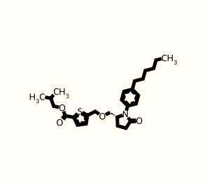 CCCCCCc1ccc(N2C(=O)CC[C@@H]2COCc2ccc(C(=O)OCC(C)C)s2)cc1